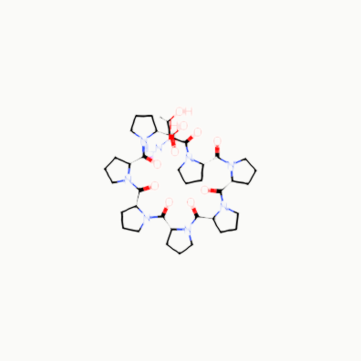 C[C@@H](O)[C@H](N)C(=O)N1CCC[C@H]1C(=O)N1CCC[C@H]1C(=O)N1CCC[C@H]1C(=O)N1CCC[C@H]1C(=O)N1CCC[C@H]1C(=O)N1CCC[C@H]1C(=O)N1CCC[C@H]1C(=O)O